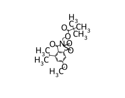 COc1cc(C(C)C)c2c(c1)S(=O)(=O)N(COC(=O)C(C)(C)C)C2=O